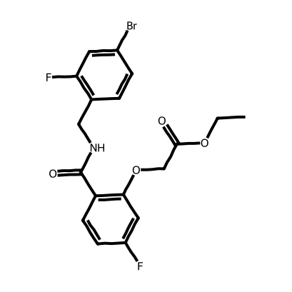 CCOC(=O)COc1cc(F)ccc1C(=O)NCc1ccc(Br)cc1F